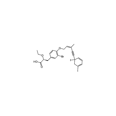 CCO[C@@H](Cc1ccc(OC/C=C(/C)C#CC2(I)C=CC=C(I)C2)c(Br)c1)C(=O)O